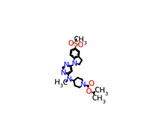 CC(C)OC(=O)N1CCC(N(C)c2cc(N3CCc4cc(S(C)(=O)=O)ccc43)ncn2)CC1